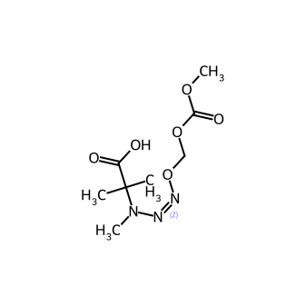 COC(=O)OCO/N=N\N(C)C(C)(C)C(=O)O